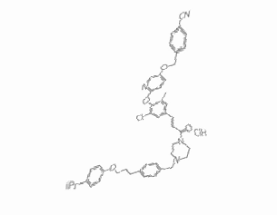 Cc1cc(C=CC(=O)N2CCN(Cc3ccc(CCCOc4ccc(C(C)C)cc4)cc3)CC2)cc(Cl)c1Oc1ccc(OCc2ccc(C#N)cc2)cn1.Cl